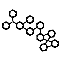 c1ccc(-c2cc(N(c3ccccc3)c3ccccc3)ccc2-c2cccc(-c3ccccc3-c3cccc4c3-c3ccccc3C43c4ccccc4-c4ccccc43)c2)cc1